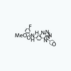 COc1ccc(F)cc1C(=O)NCc1ccc(-c2nc(C3CCOCC3)n3ncnc(N)c23)cc1